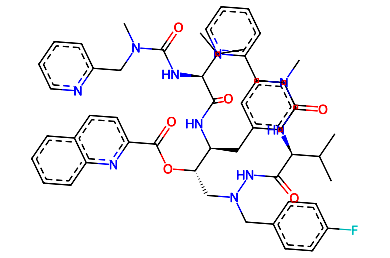 CC(C)[C@H](NC(=O)N(C)Cc1ccccn1)C(=O)N[C@@H](Cc1ccccc1)[C@H](CN(Cc1ccc(F)cc1)NC(=O)[C@@H](NC(=O)N(C)Cc1ccccn1)C(C)C)OC(=O)c1ccc2ccccc2n1